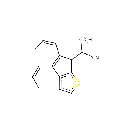 C/C=C\C1=C(/C=C\C)C(C(C#N)C(=O)O)c2sccc21